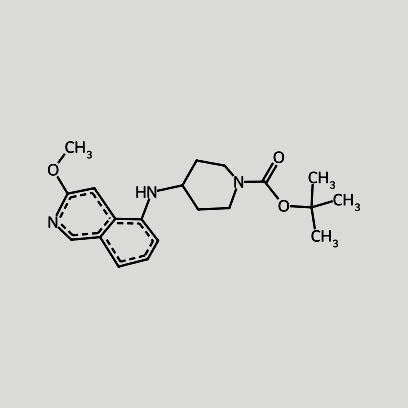 COc1cc2c(NC3CCN(C(=O)OC(C)(C)C)CC3)cccc2cn1